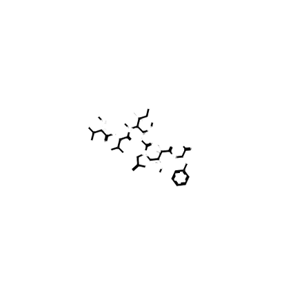 C=C1C[C@@H]([C@H](OC)[C@@H](C)C(=O)N[C@@H](Cc2ccccc2)C(=O)O)N(C(=O)C[C@@H](OC)C([C@@H](C)CC)N(C)C(=O)[C@@H](NC(=O)[C@@H](NC)C(C)C)C(C)C)C1